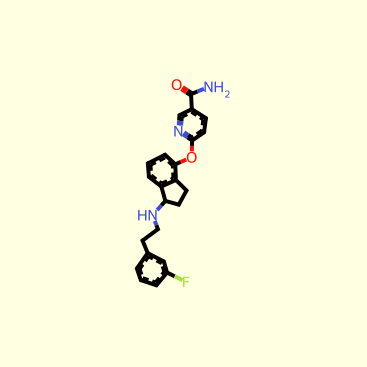 NC(=O)c1ccc(Oc2cccc3c2CCC3NCCc2cccc(F)c2)nc1